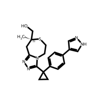 C[C@@]1(CO)Cc2nnc(C3(c4ccc(-c5cn[nH]c5)cc4)CC3)n2CCS1